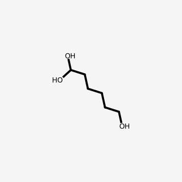 OCCCCCC(O)O